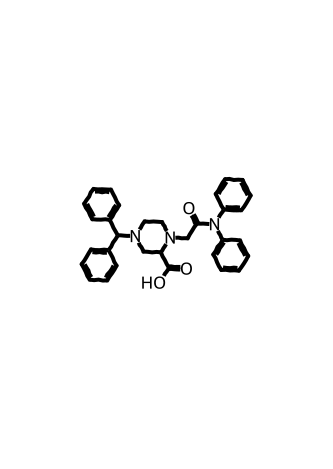 O=C(O)C1CN(C(c2ccccc2)c2ccccc2)CCN1CC(=O)N(c1ccccc1)c1ccccc1